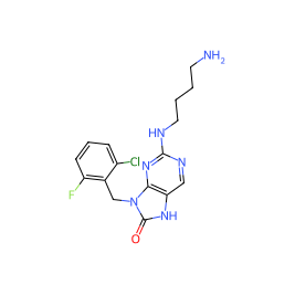 NCCCCNc1ncc2[nH]c(=O)n(Cc3c(F)cccc3Cl)c2n1